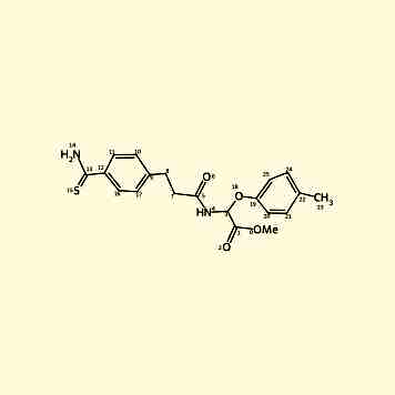 COC(=O)C(NC(=O)CCc1ccc(C(N)=S)cc1)Oc1ccc(C)cc1